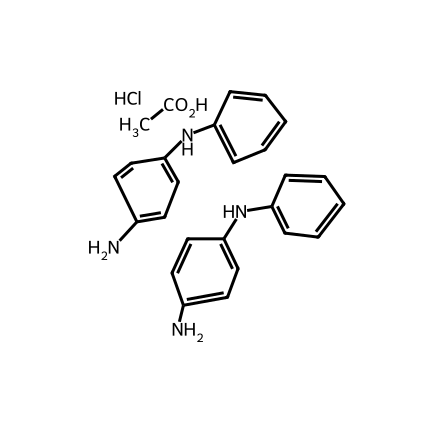 CC(=O)O.Cl.Nc1ccc(Nc2ccccc2)cc1.Nc1ccc(Nc2ccccc2)cc1